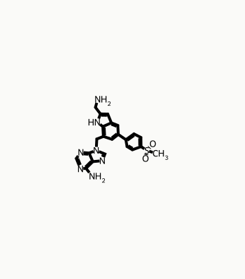 CS(=O)(=O)c1ccc(-c2cc(Cn3cnc4c(N)ncnc43)c3[nH]c(CN)cc3c2)cc1